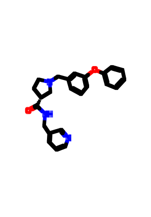 O=C(NCc1cccnc1)[C@@H]1CCN(Cc2cccc(Oc3ccccc3)c2)C1